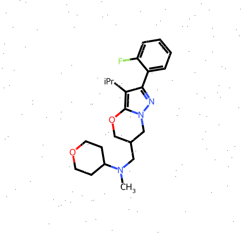 CC(C)c1c(-c2ccccc2F)nn2c1OCC(CN(C)C1CCOCC1)C2